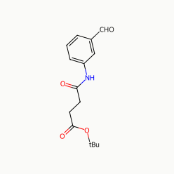 CC(C)(C)OC(=O)CCC(=O)Nc1cccc(C=O)c1